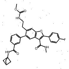 CNC(=O)c1c(-c2ccc(F)cc2)oc2cc(CCNC(=O)OC)c(-c3cccc(C(=O)NC45CC(C4)C5)c3)cc12